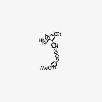 CCOc1cc(-c2ccc(N3CC4(CN(Cc5ccc(OC)nc5)C4)C3)nc2)c2c3cn[nH]c3nn2c1